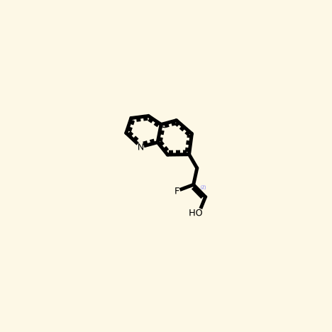 O/C=C(\F)Cc1ccc2cccnc2c1